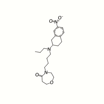 CCCN(CCCCN1CCOCCC1=O)C1CCc2ccc([N+](=O)[O-])cc2C1